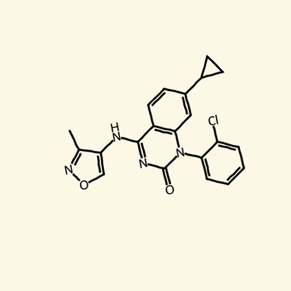 Cc1nocc1Nc1nc(=O)n(-c2ccccc2Cl)c2cc(C3CC3)ccc12